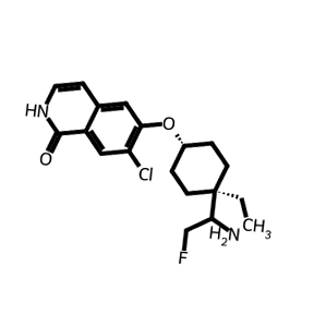 CC[C@]1(C(N)CF)CC[C@H](Oc2cc3cc[nH]c(=O)c3cc2Cl)CC1